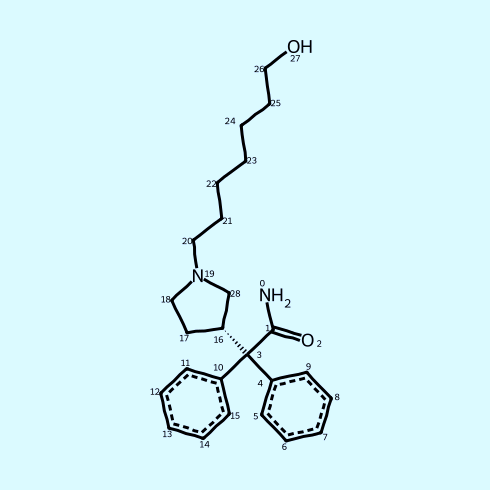 NC(=O)C(c1ccccc1)(c1ccccc1)[C@@H]1CCN(CCCCCCCO)C1